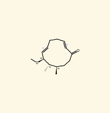 CO[C@H]1/C=C/CC/C=C/C(=O)CC[C@@H](C)[C@@H]1C